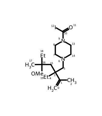 C=C(C)C(CC)(CN1CCN(C(=O)I)CC1)CC(C)(CC)OC